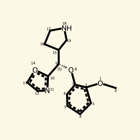 COc1ccccc1O[C@H](c1ncco1)C1CCNC1